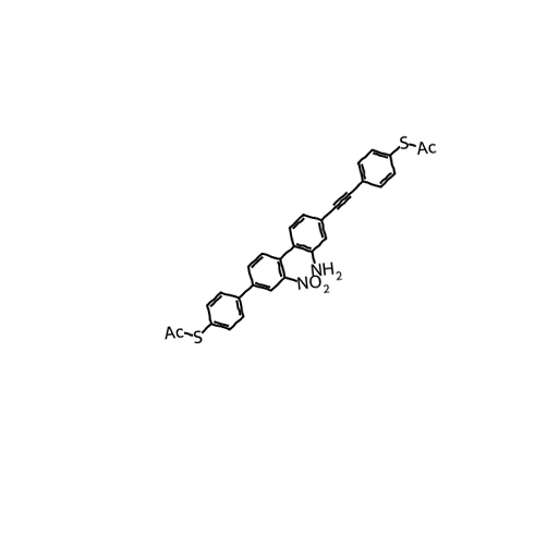 CC(=O)Sc1ccc(C#Cc2ccc(-c3ccc(-c4ccc(SC(C)=O)cc4)cc3[N+](=O)[O-])c(N)c2)cc1